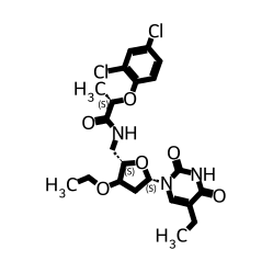 CCOC1C[C@@H](n2cc(CC)c(=O)[nH]c2=O)O[C@H]1CNC(=O)[C@H](C)Oc1ccc(Cl)cc1Cl